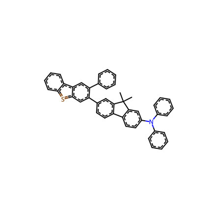 CC1(C)c2cc(-c3cc4sc5ccccc5c4cc3-c3ccccc3)ccc2-c2ccc(N(c3ccccc3)c3ccccc3)cc21